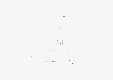 NC(=O)c1cnc(Cl)nc1NCc1cc(F)ccc1C(F)(F)F